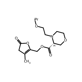 CC1=C(COC(=O)[C@H]2COCCN2CCOC(C)C)OC(=O)C1